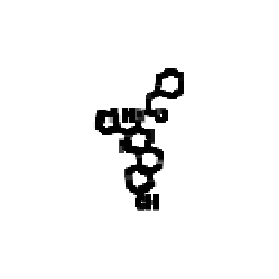 O=C(CC1CCCCC1)Nc1nc2c(nc1-c1cccs1)-c1ccc(O)cc1CC2